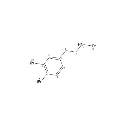 CC(C)NCCc1ccc(C(C)C)c(C(C)C)c1